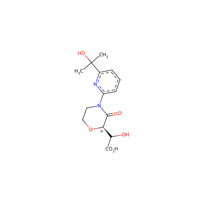 CC(C)(O)c1cccc(N2CCO[C@H](C(O)C(=O)O)C2=O)n1